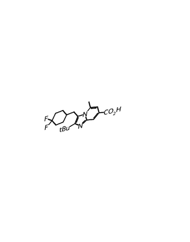 Cc1cc(C(=O)O)cc2nc(C(C)(C)C)c(CC3CCC(F)(F)CC3)n12